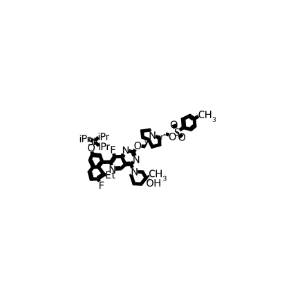 CCc1c(F)ccc2cc(O[Si](C(C)C)(C(C)C)C(C)C)cc(-c3ncc4c(N5CCC[C@@](C)(O)C5)nc(OC[C@@]56CCCN5[C@H](COS(=O)(=O)c5ccc(C)cc5)CC6)nc4c3F)c12